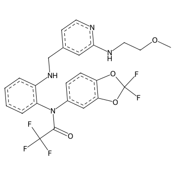 COCCNc1cc(CNc2ccccc2N(C(=O)C(F)(F)F)c2ccc3c(c2)OC(F)(F)O3)ccn1